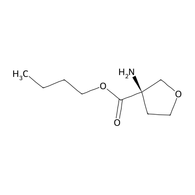 CCCCOC(=O)[C@@]1(N)CCOC1